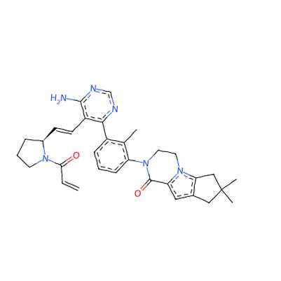 C=CC(=O)N1CCC[C@H]1C=Cc1c(N)ncnc1-c1cccc(N2CCn3c(cc4c3CC(C)(C)C4)C2=O)c1C